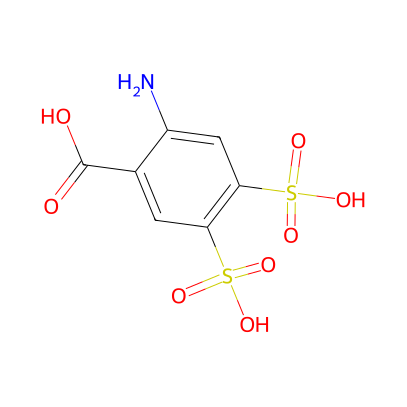 Nc1cc(S(=O)(=O)O)c(S(=O)(=O)O)cc1C(=O)O